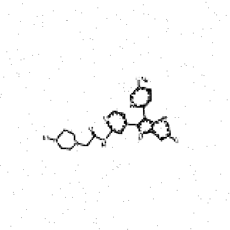 CCN1CCN(CC(=O)Nc2cc(-c3[nH]c4cc(Cl)cnc4c3-c3ccc(OC)cn3)ccn2)CC1